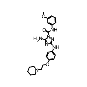 COc1cccc(NC(=O)n2nc(Nc3ccc(OCCN4CCCCC4)cc3)nc2N)c1